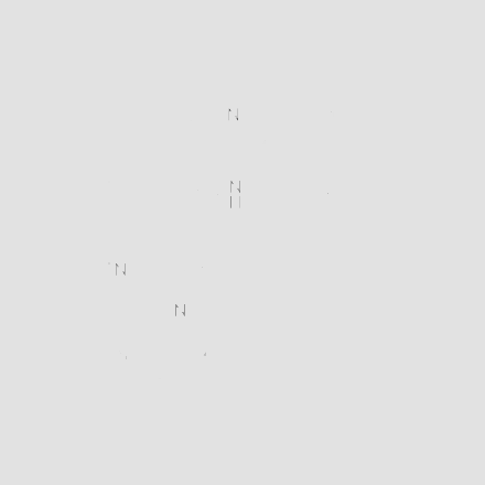 c1csc(-c2nc3cccc(-c4cn5ccsc5n4)c3[nH]2)c1